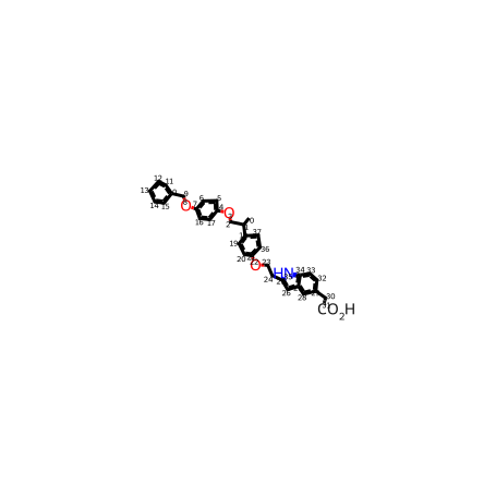 CC(COc1ccc(OCc2ccccc2)cc1)c1ccc(OCCc2cc3cc(CC(=O)O)ccc3[nH]2)cc1